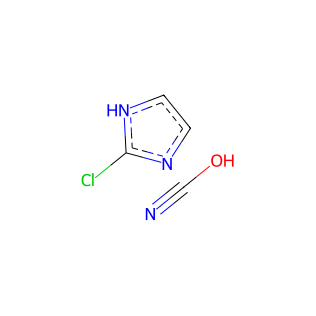 Clc1ncc[nH]1.N#CO